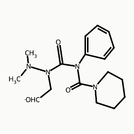 CN(C)N(C[C]=O)C(=O)N(C(=O)N1CCCCC1)c1ccccc1